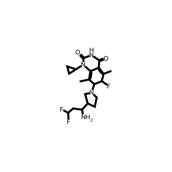 CC1=c2c(=O)[nH]c(=O)n(C3CC3)c2=C(C)C(N2CCC(C(N)CC(F)F)C2)C1F